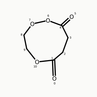 O=C1CCC(=O)OOCCO1